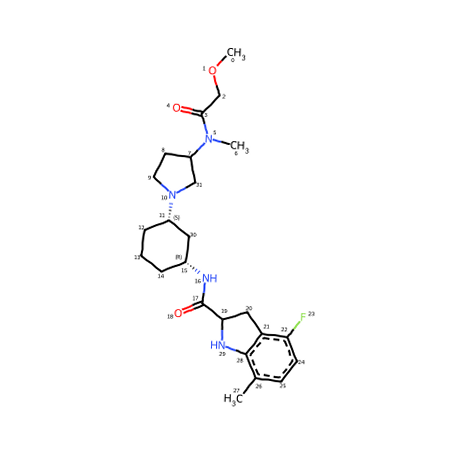 COCC(=O)N(C)C1CCN([C@H]2CCC[C@@H](NC(=O)C3Cc4c(F)ccc(C)c4N3)C2)C1